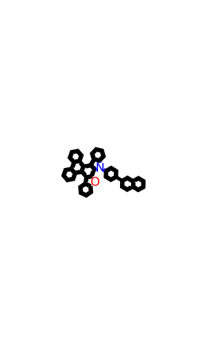 c1ccc2cc(-c3ccc(-n4c5ccccc5c5c6c7ccccc7c7ccccc7c6c6c7ccccc7oc6c54)cc3)ccc2c1